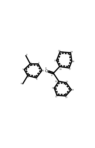 Cc1cccc(C)c1.O=C(c1ccccc1)c1ccccc1